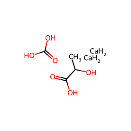 CC(O)C(=O)O.O=C(O)O.[CaH2].[CaH2]